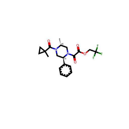 C[C@@H]1CN(C(=O)C(=O)OCC(F)(F)F)[C@@H](c2ccccc2)CN1C(=O)C1(C)CC1